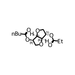 CCCCC(=O)O[C@@H]1CO[C@H]2[C@@H]1OC[C@@H]2OC(=O)CC